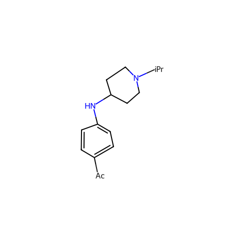 CC(=O)c1ccc(NC2CCN(C(C)C)CC2)cc1